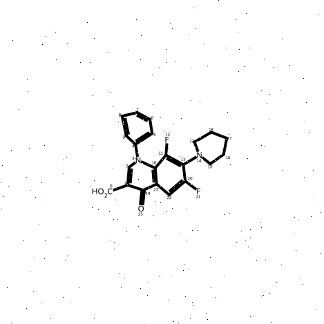 O=C(O)c1cn(-c2ccccc2)c2c(F)c(N3CCCCC3)c(F)cc2c1=O